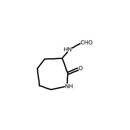 O=CNC1CCCCNC1=O